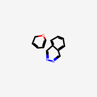 C1=CCOC=C1.c1ccc2cnncc2c1